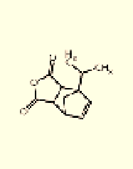 CC(C)C12C=CC(C1)C1C(=O)OC(=O)C12